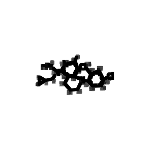 CCCN(CC1CC1)c1nc(C)nc2c1CCCN2c1ccc(Cl)cc1Cl